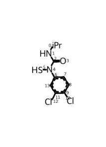 CC(C)NC(=O)N(S)c1ccc(Cl)c(Cl)c1